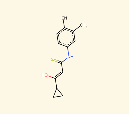 Cc1cc(NC(=S)C=C(O)C2CC2)ccc1C#N